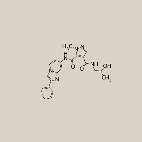 CC(O)CNC(=O)c1cnn(C)c1C(=O)Nc1ccn2cc(-c3ccccc3)nc2c1